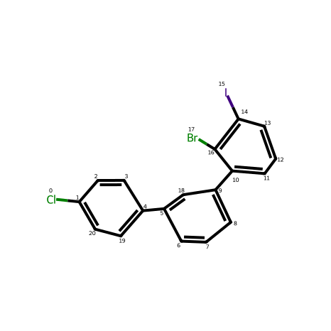 Clc1ccc(-c2cccc(-c3cccc(I)c3Br)c2)cc1